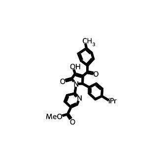 COC(=O)c1ccc(N2C(=O)C(O)=C(C(=O)c3ccc(C)cc3)C2C2=CCC(C(C)C)C=C2)nc1